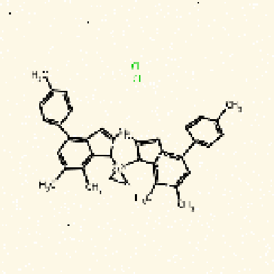 CCC1=Cc2c(-c3ccc(C)cc3)cc(C)c(C)c2[CH]1[Zr+2]1([CH]2C(CC)=Cc3c(-c4ccc(C)cc4)cc(C)c(C)c32)[CH2][CH2]1.[Cl-].[Cl-]